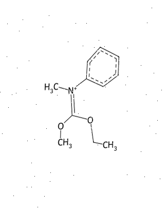 CCOC(OC)=[N+](C)c1ccccc1